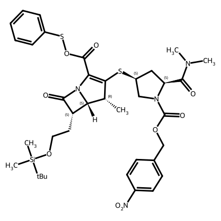 C[C@H]1C(S[C@H]2C[C@@H](C(=O)N(C)C)N(C(=O)OCc3ccc([N+](=O)[O-])cc3)C2)=C(C(=O)OSc2ccccc2)N2C(=O)[C@@H](CCO[Si](C)(C)C(C)(C)C)[C@@H]12